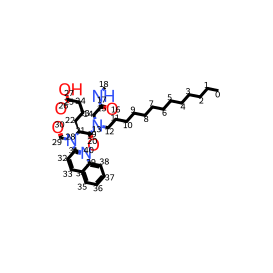 CCCCCCCCCCCCCN(CC(=O)NC)C(=O)[C@H](CCCC(=O)O)N(C=O)c1ccc2ccccc2n1